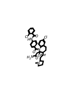 COC1(CC(N)=O)C(CCC2CCCN2C)CCc2cc(Cl)ccc2N1C(=O)c1ccc(NC(=O)c2ccccc2Cl)cc1